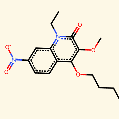 CCCCOc1c(OC)c(=O)n(CC)c2cc([N+](=O)[O-])ccc12